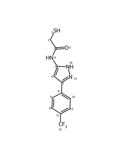 O=C(CS)Nc1cc(-c2ccc(C(F)(F)F)cc2)n[nH]1